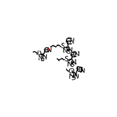 CCCCCSc1nsnc1C1CN2CCC1CC2.CCCCSc1nsnc1C1CN2CCC1CC2.CCCOc1nsnc1C1CN2CCC1CC2.CCOc1nsnc1C1CN2CCC1CC2